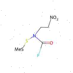 CSSN(CC[N+](=O)[O-])C(=O)F